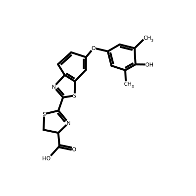 Cc1cc(Oc2ccc3nc(C4=NC(C(=O)O)CS4)sc3c2)cc(C)c1O